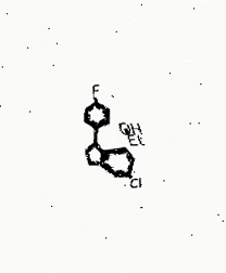 CCO.Fc1ccc(C2CCc3cc(Cl)ccc32)cc1